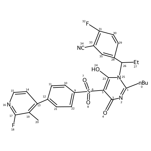 CCCCc1nc(=O)c(S(=O)(=O)c2ccc(-c3ccnc(F)c3C)cc2)c(O)n1C(CC)c1ccc(F)c(C#N)c1